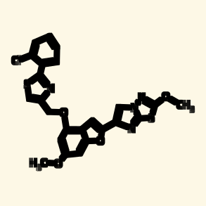 COc1cc(OCc2csc(-c3ccccc3Cl)n2)c2cc(-c3cn4nc(OC)sc4n3)oc2c1